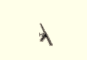 CCCCCCCCCCCCC(CCCCCCCCCCCC)NCCCCCCCC